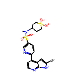 CC(C)c1cc2c(-c3ccc(S(=O)(=O)N(C)C4CCS(O)(O)CC4)cn3)ccnc2[nH]1